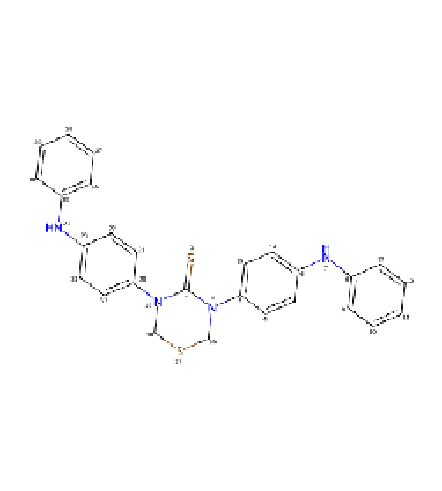 S=C1N(c2ccc(Nc3ccccc3)cc2)CSCN1c1ccc(Nc2ccccc2)cc1